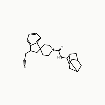 N#CCC1CC2(CCN(C(=O)NC3C4CC5CC(C4)CC3C5)CC2)c2ccccc21